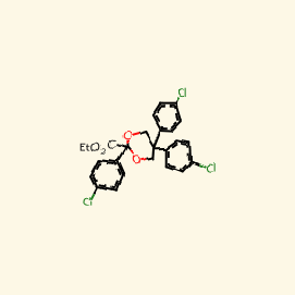 CCOC(=O)C1(c2ccc(Cl)cc2)OCC(c2ccc(Cl)cc2)(c2ccc(Cl)cc2)CO1